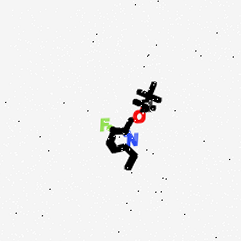 C=Cc1ccc(F)c(CO[Si](C)(C)C(C)(C)C)n1